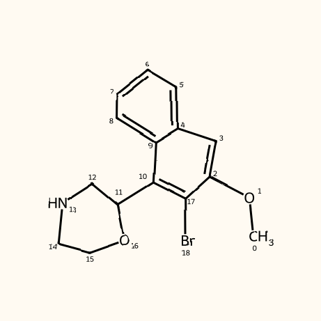 COc1cc2ccccc2c(C2CNCCO2)c1Br